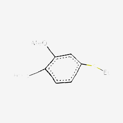 CCSc1ccc(S(=O)(=O)O)c(OC)c1